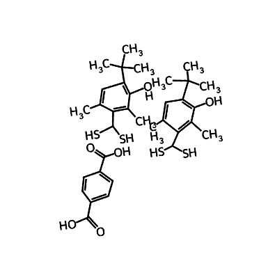 Cc1cc(C(C)(C)C)c(O)c(C)c1C(S)S.Cc1cc(C(C)(C)C)c(O)c(C)c1C(S)S.O=C(O)c1ccc(C(=O)O)cc1